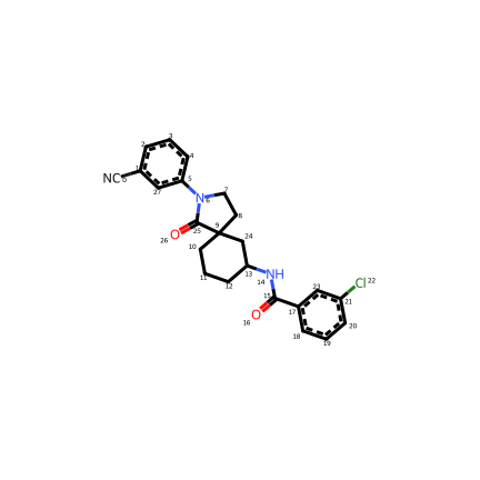 N#Cc1cccc(N2CCC3(CCCC(NC(=O)c4cccc(Cl)c4)C3)C2=O)c1